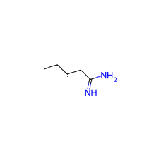 CC[CH]CC(=N)N